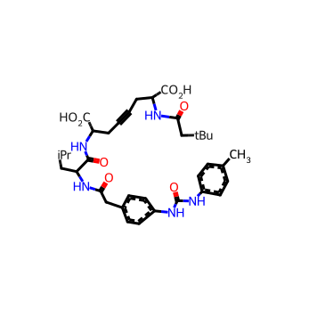 Cc1ccc(NC(=O)Nc2ccc(CC(=O)NC(CC(C)C)C(=O)NC(CC#CCC(NC(=O)CC(C)(C)C)C(=O)O)C(=O)O)cc2)cc1